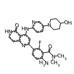 CN(C)C(=O)c1c(N)ccc(-c2cc(Nc3ccc(N4CCC(O)CC4)cn3)c3c(=O)[nH]ccc3n2)c1F